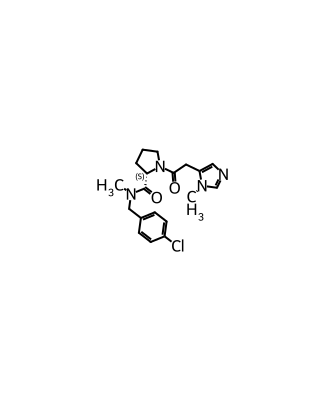 CN(Cc1ccc(Cl)cc1)C(=O)[C@@H]1CCCN1C(=O)Cc1cncn1C